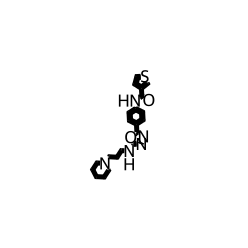 O=C(Nc1ccc(-c2nnc(NCCCN3CCCCC3)o2)cc1)c1ccsc1